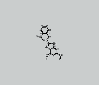 COc1cc(OC)c2nc(SCc3ccccc3N(C)C)[nH]c2c1